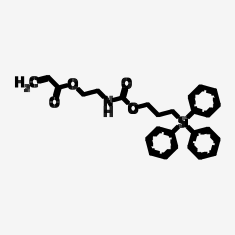 C=CC(=O)OCCNC(=O)OCCC[Si](c1ccccc1)(c1ccccc1)c1ccccc1